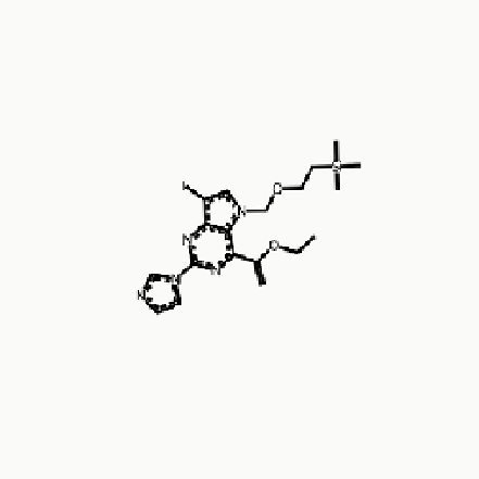 C=C(OCC)c1nc(-n2ccnc2)nc2c(I)cn(COCC[Si](C)(C)C)c12